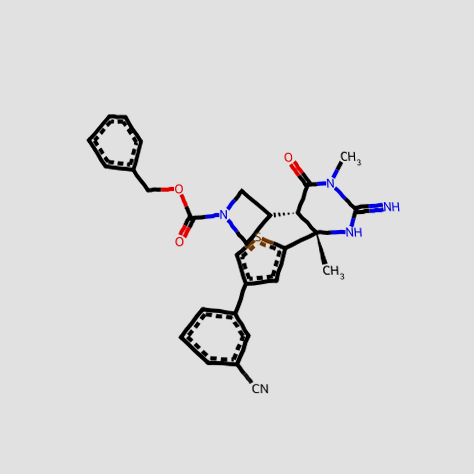 CN1C(=N)N[C@](C)(c2cc(-c3cccc(C#N)c3)cs2)[C@H](C2CN(C(=O)OCc3ccccc3)C2)C1=O